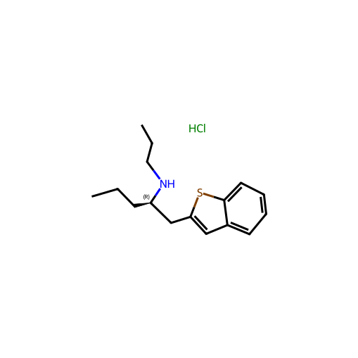 CCCN[C@H](CCC)Cc1cc2ccccc2s1.Cl